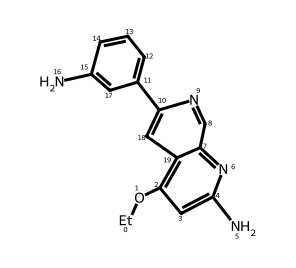 CCOc1cc(N)nc2cnc(-c3cccc(N)c3)cc12